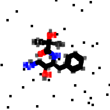 CC(C)(C)[C@@](C)(O)C(=O)N[C@@H](Cc1ccccc1)[C@@H](O)CN